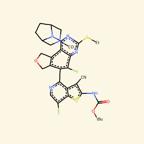 CCSc1nc(N2C3CCC2CN(C(=O)O)C3)c2c3c(c(-c4ncc(F)c5sc(NC(=O)OC(C)(C)C)c(C#N)c45)c(F)c2n1)COC3